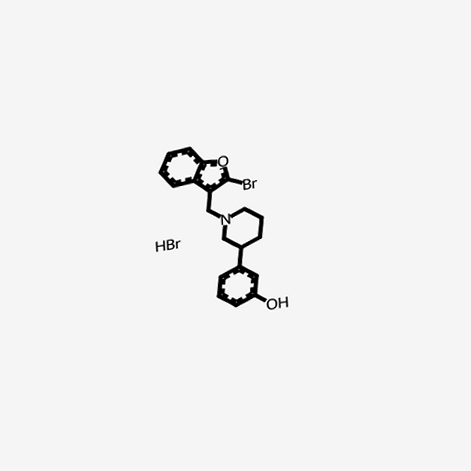 Br.Oc1cccc(C2CCCN(Cc3c(Br)oc4ccccc34)C2)c1